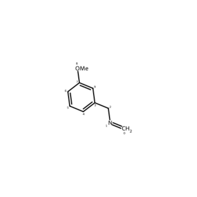 C=NCc1cccc(OC)c1